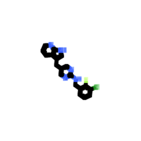 Fc1c(Cl)cccc1CNc1ncc(Cc2c[nH]c3ncccc23)cn1